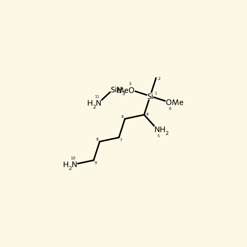 CO[Si](C)(OC)C(N)CCCCN.N[SiH3]